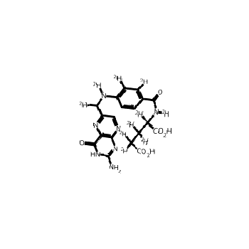 [2H]c1c(C(=O)N([2H])[C@]([2H])(C(=O)O)C([2H])([2H])C([2H])([2H])C(=O)O)ccc(N([2H])C([2H])c2cnc3nc(N)[nH]c(=O)c3n2)c1[2H]